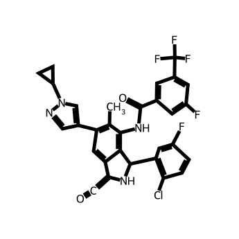 Cc1c(-c2cnn(C3CC3)c2)cc2c(c1NC(=O)c1cc(F)cc(C(F)(F)F)c1)C(c1cc(F)ccc1Cl)NC2=C=O